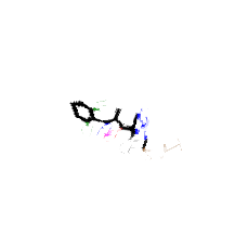 CC1C(c2c(F)cccc2Cl)=NOC1c1cnn(CCS)c1C(F)(F)F